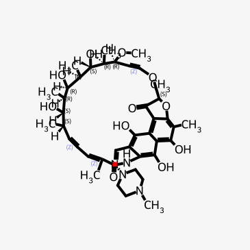 CO[C@H]1/C=C\O[C@@]2(C)Oc3c(C)c(O)c4c(O)c(c(C=NN5CCN(C)CC5)c(O)c4c3C2=O)NC(=O)/C(C)=C\C=C/[C@H](C)[C@H](O)[C@@H](C)[C@@H](O)[C@@H](C)[C@H](O)[C@H]1C